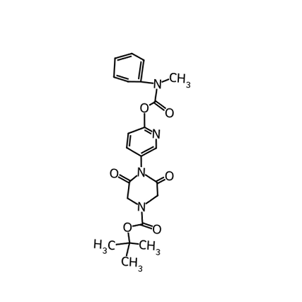 CN(C(=O)Oc1ccc(N2C(=O)CN(C(=O)OC(C)(C)C)CC2=O)cn1)c1ccccc1